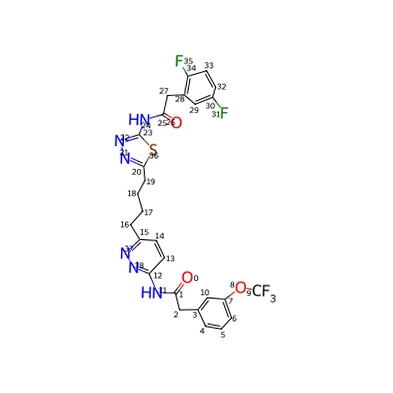 O=C(Cc1cccc(OC(F)(F)F)c1)Nc1ccc(CCCCc2nnc(NC(=O)Cc3cc(F)ccc3F)s2)nn1